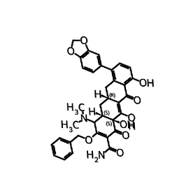 CN(C)C1C(OCc2ccccc2)=C(C(N)=O)C(=O)[C@@]2(O)C(O)=C3C(=O)c4c(O)ccc(-c5ccc6c(c5)OCO6)c4C[C@H]3C[C@@H]12